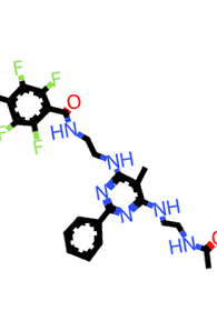 CC(=O)NCCNc1nc(-c2ccccc2)nc(NCCNC(=O)c2c(F)c(F)c(C)c(F)c2F)c1C